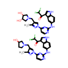 Cc1nn(-c2ccnc(Nc3ccc4[nH]cc(C(=O)C(F)F)c4c3)n2)cc1CN1CCC(O)C1.Cc1nn(-c2ccnc(Nc3ccc4[nH]cc(C(=O)C(F)F)c4c3)n2)cc1CN1C[C@H](O)[C@@H](O)C1